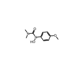 COc1ccc(N(O)C(=O)N(C)C)cc1